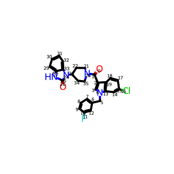 O=C(c1cn(Cc2cccc(F)c2)c2cc(Cl)ccc12)N1CCC(n2c(=O)[nH]c3ccccc32)CC1